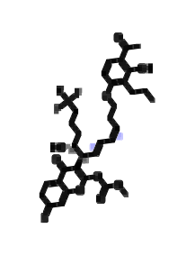 CCCc1c(OCC/C=C\C=C\[C@@H](c2c(OC(=O)OC)oc3c(c2=O)=CCC(=S)C=3)[C@H](O)CCCC(F)(F)F)ccc(C(C)=O)c1O